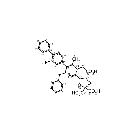 CC(C(CCc1ccccc1)c1ccc(-c2ccccc2)c(F)c1)N(CC(=O)O)C(=O)C1COC(C(=O)O)(C(=O)O)O1